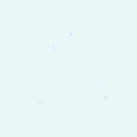 COc1ccc(Cn2cnc(CC3CCN(C)CC3)c2)cc1